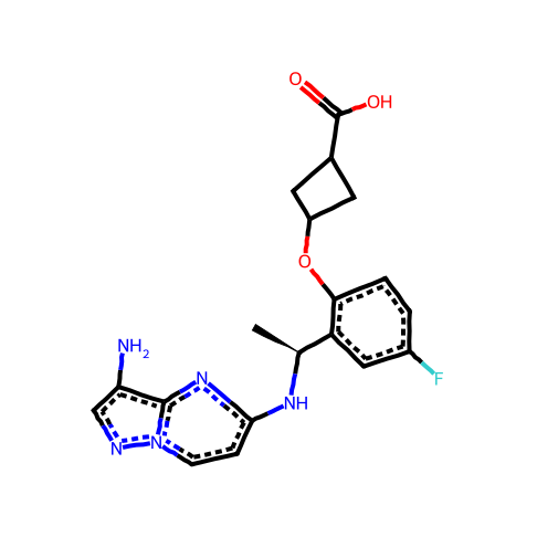 C[C@H](Nc1ccn2ncc(N)c2n1)c1cc(F)ccc1OC1CC(C(=O)O)C1